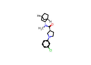 CN(C(=O)[C@H]1CCN(c2cccc(Cl)c2)C1)[C@@H]1C[C@@H]2CC[C@H]1C2